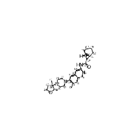 Cc1cc2cnc(NC(=O)[C@@H]3[C@@H]4CCOC[C@H]43)cc2cc1N1CCN([C@@]2(C)CCOC2)CC1